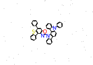 c1ccc(-c2cc3oc(-n4c5ccccc5c5ccc6c(c7ccccc7n6-c6ccccc6)c54)nc3c3c2sc2ccccc23)cc1